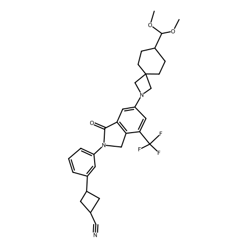 COC(OC)C1CCC2(CC1)CN(c1cc3c(c(C(F)(F)F)c1)CN(c1cccc(C4CC(C#N)C4)c1)C3=O)C2